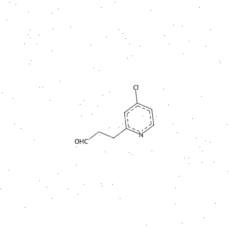 O=CCCc1cc(Cl)ccn1